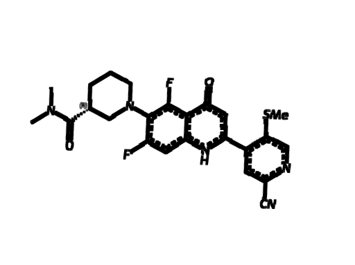 CSc1cnc(C#N)cc1-c1cc(=O)c2c(F)c(N3CCC[C@@H](C(=O)N(C)C)C3)c(F)cc2[nH]1